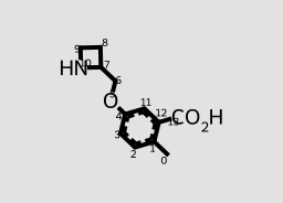 Cc1ccc(OCC2CCN2)cc1C(=O)O